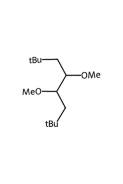 COC(CC(C)(C)C)C(CC(C)(C)C)OC